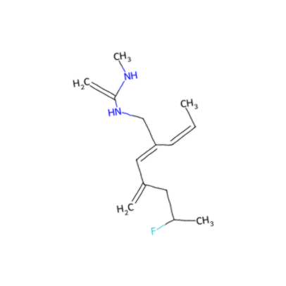 C=C(/C=C(\C=C/C)CNC(=C)NC)CC(C)F